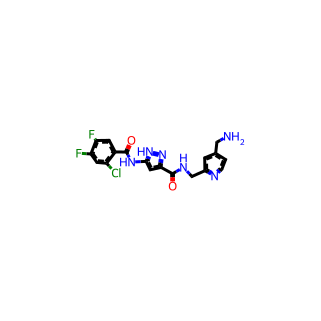 NCc1ccnc(CNC(=O)c2cc(NC(=O)c3cc(F)c(F)cc3Cl)[nH]n2)c1